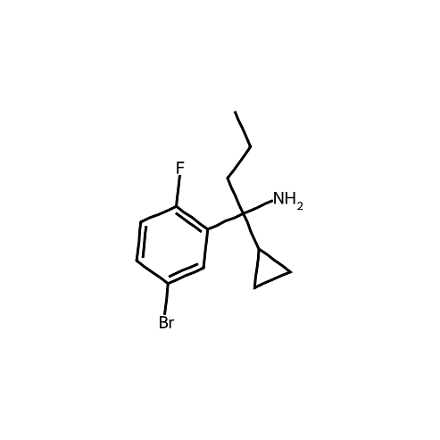 CCCC(N)(c1cc(Br)ccc1F)C1CC1